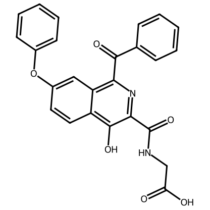 O=C(O)CNC(=O)c1nc(C(=O)c2ccccc2)c2cc(Oc3ccccc3)ccc2c1O